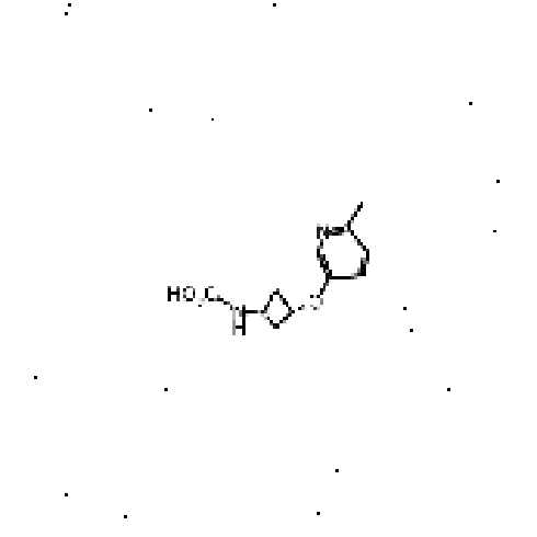 Cc1ccc(O[C@H]2C[C@H](NC(=O)O)C2)cn1